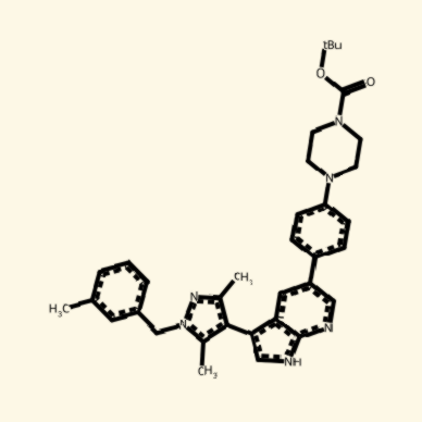 Cc1cccc(Cn2nc(C)c(-c3c[nH]c4ncc(-c5ccc(N6CCN(C(=O)OC(C)(C)C)CC6)cc5)cc34)c2C)c1